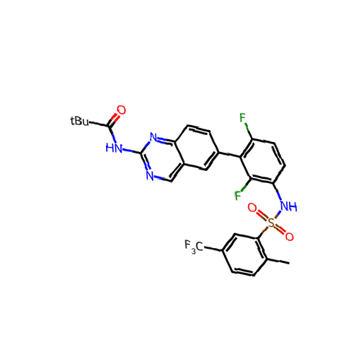 Cc1ccc(C(F)(F)F)cc1S(=O)(=O)Nc1ccc(F)c(-c2ccc3nc(NC(=O)C(C)(C)C)ncc3c2)c1F